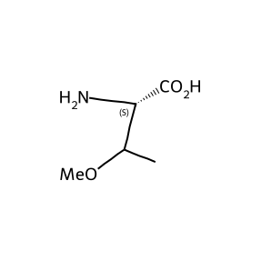 COC(C)[C@H](N)C(=O)O